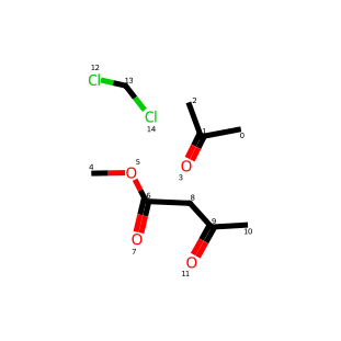 CC(C)=O.COC(=O)CC(C)=O.ClCCl